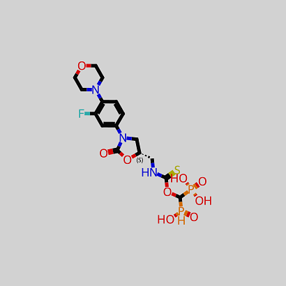 O=C1O[C@@H](CNC(=S)OC([PH](=O)O)P(=O)(O)O)CN1c1ccc(N2CCOCC2)c(F)c1